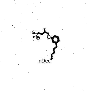 [CH2]C(CCS(C)(=O)=O)COc1cccc(CCCCCCCCCCCCCCC)c1